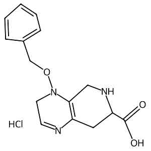 Cl.O=C(O)C1CC2=C(CN1)N(OCc1ccccc1)CC=N2